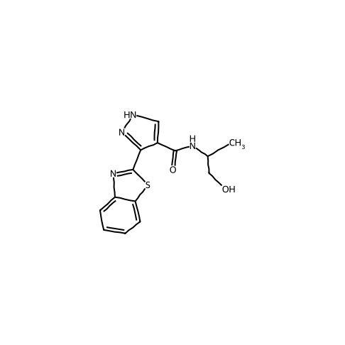 CC(CO)NC(=O)c1c[nH]nc1-c1nc2ccccc2s1